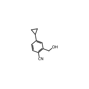 N#Cc1ccc(C2CC2)cc1[CH]O